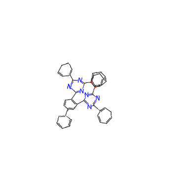 C1=CCC=C(c2nc(C3=CCCC=C3)nc(-c3ccc(-c4ccccc4)cc3-c3nc(C4=CCC=CC=C4)nc(C4=CCCC=C4)n3)n2)C=C1